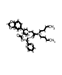 CCCCN(CCCC)C(=O)CN1CC(c2ccc3c(c2)OCO3)[C@H](C(=O)O)[C@H]1CCc1ncccn1